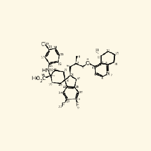 C[C@@H](COc1ccnc2c1[C@H](C)CCC2)C[C@H]1Cc2cc(F)c(F)cc2C12CCC(Nc1cccc(Cl)c1)(C(=O)O)CC2